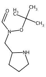 CC(C)(C)ON(C=O)CC1CCCN1